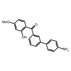 COc1ccc(C(=O)c2cccc(-c3ccc(N)cc3)c2)c(O)c1